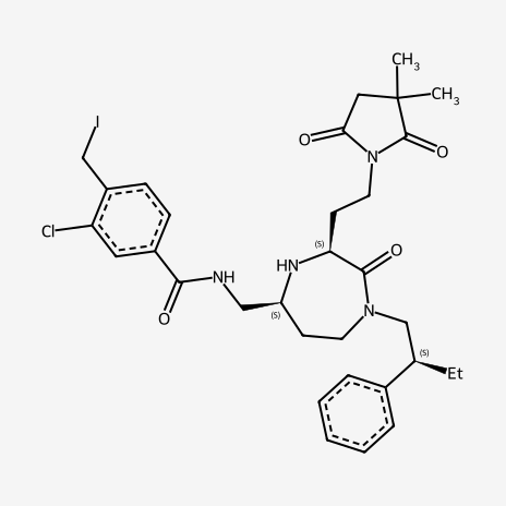 CC[C@H](CN1CC[C@@H](CNC(=O)c2ccc(CI)c(Cl)c2)N[C@@H](CCN2C(=O)CC(C)(C)C2=O)C1=O)c1ccccc1